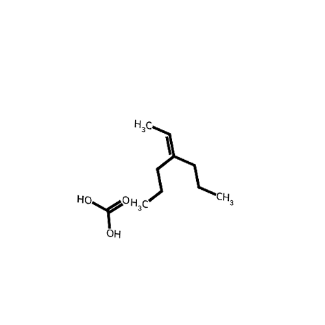 CC=C(CCC)CCC.O=C(O)O